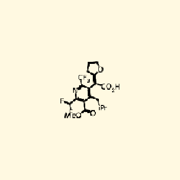 COC(=O)c1c(C(F)F)nc(C(F)(F)F)c(/C(C(=O)O)=C2\CCCO2)c1CC(C)C